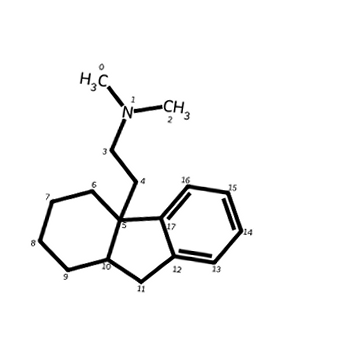 CN(C)CCC12CCCCC1Cc1ccccc12